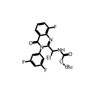 CCC(NC(=O)OC(C)(C)C)c1nc2c(F)cccc2c(=O)n1-c1cc(F)cc(F)c1